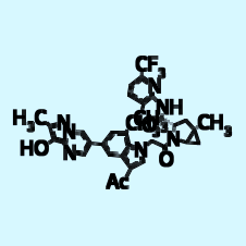 CC(=O)c1cn(CC(=O)N2C3C[C@]3(C)C[C@H]2C(=O)Nc2nc(C(F)(F)F)ccc2C)c2c(C)cc(-c3cnc4c(O)c(C)nn4c3)cc12